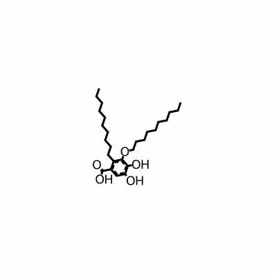 CCCCCCCCCCOc1c(O)c(O)cc(C(=O)O)c1CCCCCCCCCC